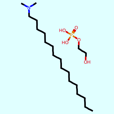 CCCCCCCCCCCCCCCCN(C)C.O=P(O)(O)OCCO